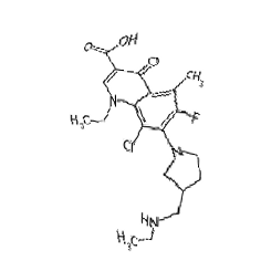 CCNCC1CCN(c2c(F)c(C)c3c(=O)c(C(=O)O)cn(CC)c3c2Cl)C1